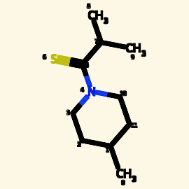 CC1CCN(C(=S)C(C)C)CC1